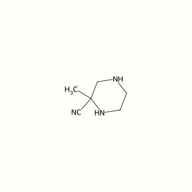 CC1(C#N)CNCCN1